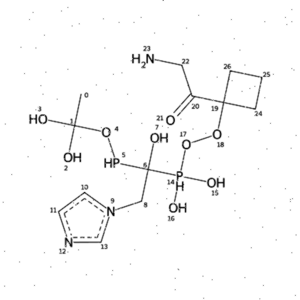 CC(O)(O)OPC(O)(Cn1ccnc1)[PH](O)(O)OOC1(C(=O)CN)CCC1